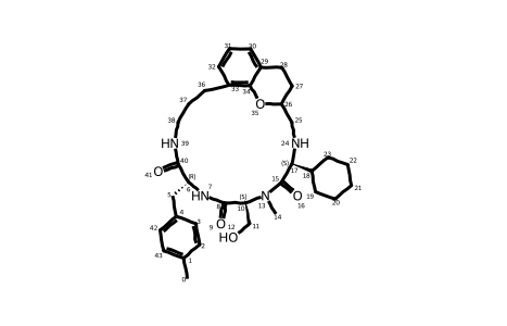 Cc1ccc(C[C@H]2NC(=O)[C@H](CO)N(C)C(=O)[C@H](C3CCCCC3)NCC3CCc4cccc(c4O3)CCCNC2=O)cc1